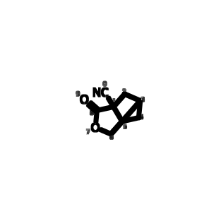 N#CC12CC3CC1C3OC2=O